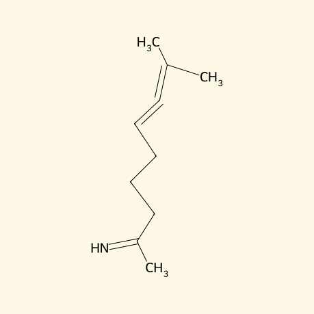 CC(=N)CCCC=C=C(C)C